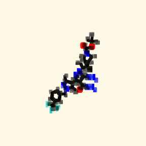 Cc1nn(Cc2cccc(C(F)(F)F)c2)c(C)c1-c1nn([C@@H]2C[C@]34CN(C(=O)OC(C)(C)C)CC3[C@H]24)c(N)c1C(N)=O